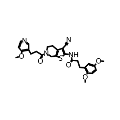 COc1ccc(OC)c(CCC(=O)Nc2sc3c(c2C#N)CCN(C(=O)CCc2cnccc2OC)C3)c1